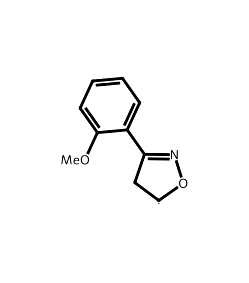 COc1ccccc1C1=NO[CH]C1